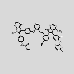 C#Cc1cc(CCc2ccccc2Oc2ccc(-c3c(-c4ccc(NC(=O)C=C)cc4)n(C(C)C)c4ncnc(C)c34)cc2)c(-c2c(-c3ccc(Oc4nccc(C)n4)c(F)c3)c3c(N)ncnc3n2C)cn1